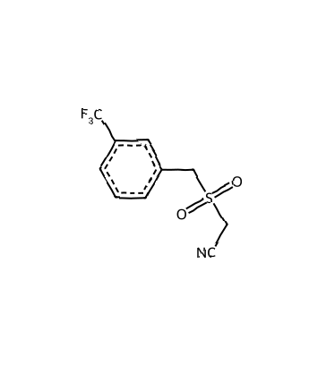 N#CCS(=O)(=O)Cc1cccc(C(F)(F)F)c1